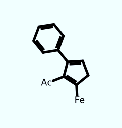 CC(=O)C1=[C]([Fe])CC=C1c1ccccc1